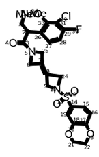 CNCC(C(=O)N1CC(=C2CN(S(=O)(=O)c3ccc4c(c3)OCCO4)C2)C1)c1ccc(F)c(Cl)c1OC